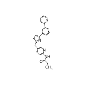 CCC(=O)Nc1ccc(Cn2ccc(-c3cccc(-c4ccccc4)c3)n2)cn1